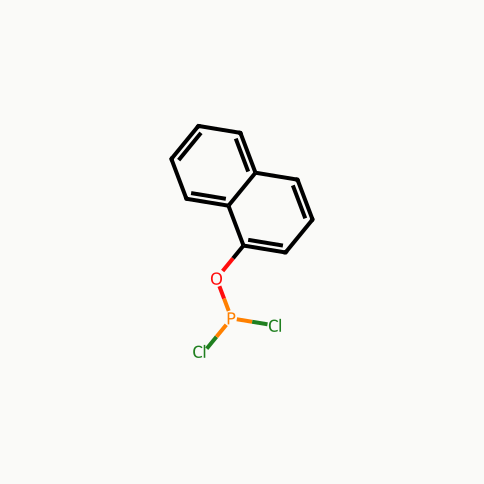 ClP(Cl)Oc1cccc2ccccc12